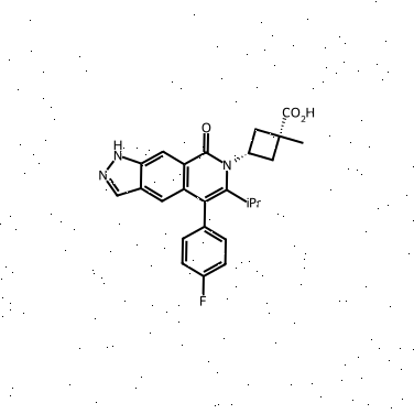 CC(C)c1c(-c2ccc(F)cc2)c2cc3cn[nH]c3cc2c(=O)n1[C@H]1C[C@@](C)(C(=O)O)C1